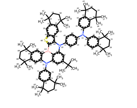 CC(C)(C)c1cc2c3c(c1)N(c1ccc(N(c4ccc5c(c4)C(C)(C)CCC5(C)C)c4ccc5c(c4)C(C)(C)CCC5(C)C)cc1)c1c(sc4cc5c(cc14)C(C)(C)CCC5(C)C)B3c1cc3c(cc1N2c1ccc2c(c1)C(C)(C)CCC2(C)C)C(C)(C)CCC3(C)C